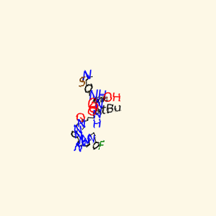 Cc1ncsc1-c1ccc(CNC(=O)[C@@H]2C[C@@H](O)CN2C(=O)[C@@H](NC(=O)CCCC(=O)N2CCN(c3cccc(-c4cnc5ccc(N6CCCC6c6cccc(F)c6)nn45)n3)CC2)C(C)(C)C)cc1